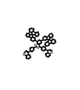 C1=CC2=NC=CC(c3ccc(-c4nc(-c5ccc(-c6ccnc7ccccc67)cc5)nc5c(-c6ccc7c(c6)C6(c8ccccc8-c8ccccc86)c6ccccc6-7)cc(C6C=C7C(=CC6)C6=C(C=CCC6)C76c7ccccc7-c7ccccc76)cc45)cc3)C2C=C1